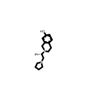 CC(C)[C@@H](CN1CCCC1)N1CCc2ccc(O)cc2C1